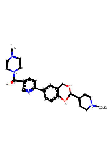 CCOC(=O)N1CCC(C2OCc3cc(-c4ccc(C(=O)N5CCN(C)CC5)cn4)ccc3O2)CC1